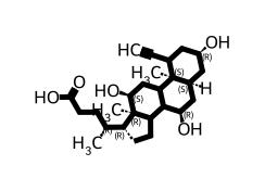 C#CC1C[C@H](O)C[C@H]2C[C@@H](O)C3C(C[C@H](O)[C@@]4(C)C3CC[C@@H]4[C@H](C)CCC(=O)O)[C@@]12C